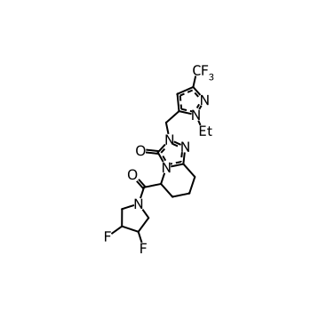 CCn1nc(C(F)(F)F)cc1Cn1nc2n(c1=O)C(C(=O)N1CC(F)C(F)C1)CCC2